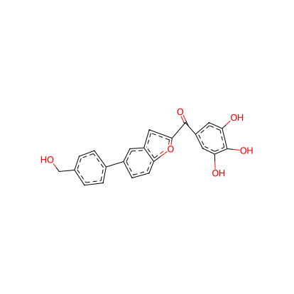 O=C(c1cc(O)c(O)c(O)c1)c1cc2cc(-c3ccc(CO)cc3)ccc2o1